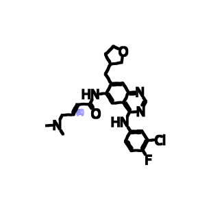 CN(C)C/C=C/C(=O)Nc1cc2c(Nc3ccc(F)c(Cl)c3)ncnc2cc1CC1CCOC1